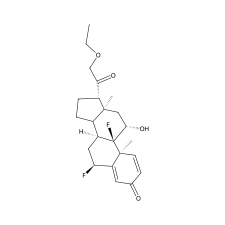 CCOCC(=O)[C@H]1CCC2[C@@H]3C[C@H](F)C4=CC(=O)C=C[C@]4(C)[C@@]3(F)[C@@H](O)C[C@@]21C